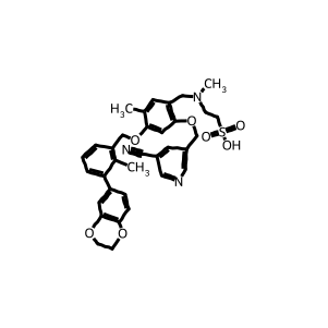 Cc1cc(CN(C)CCS(=O)(=O)O)c(OCc2cncc(C#N)c2)cc1OCc1cccc(-c2ccc3c(c2)OCCO3)c1C